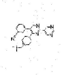 CC(C)(C)CN1CCC(c2nc(-c3cncnc3)ncc2-c2cccc(C#N)c2)CC1